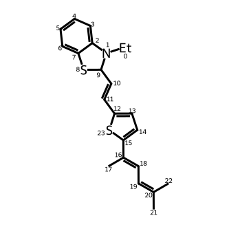 CCN1c2ccccc2SC1/C=C/c1ccc(/C(C)=C/C=C(C)C)s1